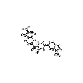 Cn1ncc2ccc(-c3ccc(C(=O)N4CCN(C(=O)C5(N)CC5)CC4)c(F)c3)cc21